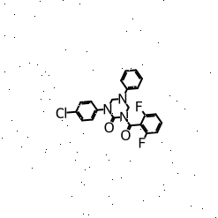 O=C(c1c(F)cccc1F)N1CN(c2ccccc2)CN(c2ccc(Cl)cc2)C1=O